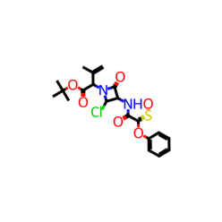 C=C(C)C(C(=O)OC(C)(C)C)N1C(=O)C(NC(=O)C(Oc2ccccc2)=S=O)C1Cl